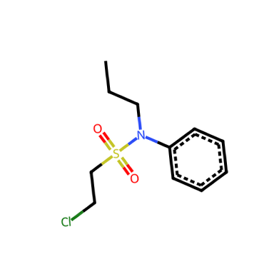 CCCN(c1ccccc1)S(=O)(=O)CCCl